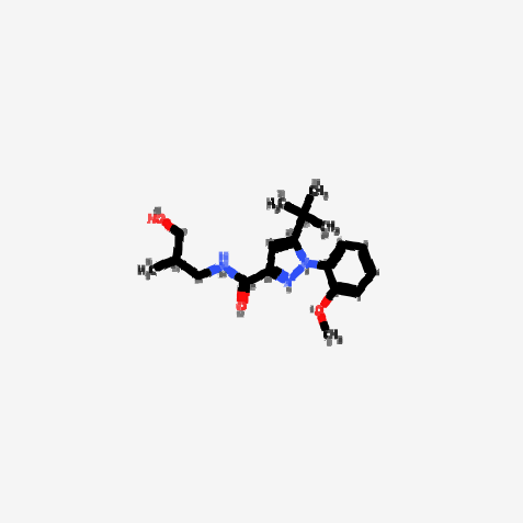 COc1ccccc1-n1nc(C(=O)NCC(C)CO)cc1C(C)(C)C